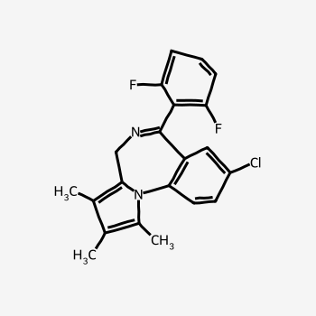 Cc1c(C)c2n(c1C)-c1ccc(Cl)cc1C(c1c(F)cccc1F)=NC2